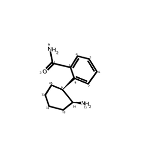 NC(=O)c1ccccc1[C@@H]1CCCC[C@@H]1N